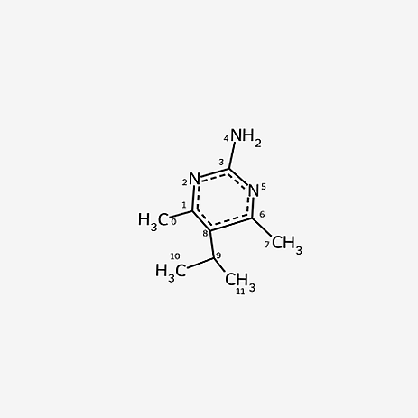 Cc1nc(N)nc(C)c1C(C)C